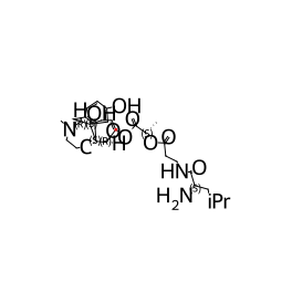 CC(C)C[C@H](N)C(=O)NCCC(=O)O[C@@H](C)C(=O)OC1=CC[C@@]2(O)[C@H]3Cc4ccc(O)c5c4[C@@]2(CCCN3C)[C@H]1O5